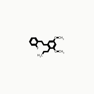 CCCc1c(CCc2ccccc2F)cc(OC)cc1OC